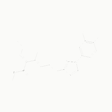 CNC(=O)C(=N/OC)/C(C)=C/COc1ccn(-c2ccc(F)c(Cl)c2)n1